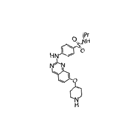 CC(C)NS(=O)(=O)c1ccc(Nc2ncc3ccc(OC4CCNCC4)cc3n2)cc1